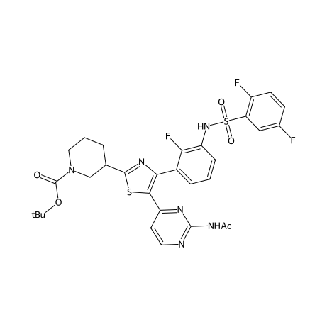 CC(=O)Nc1nccc(-c2sc(C3CCCN(C(=O)OC(C)(C)C)C3)nc2-c2cccc(NS(=O)(=O)c3cc(F)ccc3F)c2F)n1